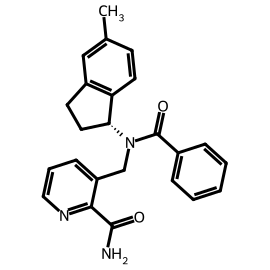 Cc1ccc2c(c1)CC[C@H]2N(Cc1cccnc1C(N)=O)C(=O)c1ccccc1